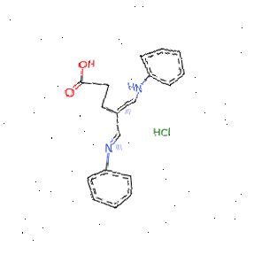 Cl.O=C(O)CCC(/C=N/c1ccccc1)=C\Nc1ccccc1